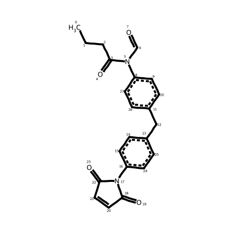 CCCC(=O)N(C=O)c1ccc(Cc2ccc(N3C(=O)C=CC3=O)cc2)cc1